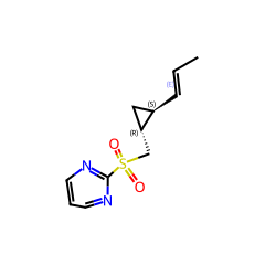 C/C=C/[C@@H]1C[C@H]1CS(=O)(=O)c1ncccn1